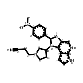 C[S+]([O-])c1ccc(C2Nc3cnc4[nH]ccc4c3N2C2CCN(CCC#N)C2)cc1